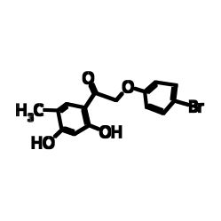 Cc1cc(C(=O)COc2ccc(Br)cc2)c(O)cc1O